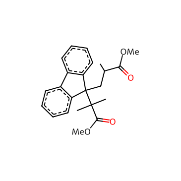 COC(=O)C(C)CC1(C(C)(C)C(=O)OC)c2ccccc2-c2ccccc21